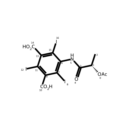 CC(=O)O[C@@H](C)C(=O)Nc1c(I)c(C(=O)O)c(I)c(C(=O)O)c1I